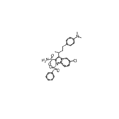 CC(CCc1ccc(N(C)C)cc1)c1c(S(N)(=O)=O)n(S(=O)(=O)c2ccccc2)c2ccc(Cl)cc12